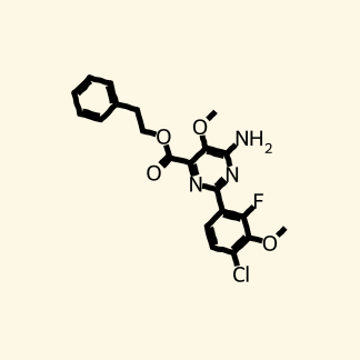 COc1c(N)nc(-c2ccc(Cl)c(OC)c2F)nc1C(=O)OCCc1ccccc1